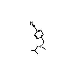 CC(C)CN(C)Cc1ccc(C#N)cc1